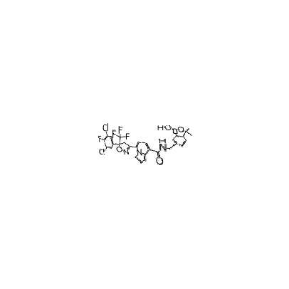 CC1(C)OB(O)c2cc(CNC(=O)c3ccc(C4=NO[C@@](c5cc(Cl)c(F)c(Cl)c5)(C(F)(F)F)C4)n4cccc34)ccc21